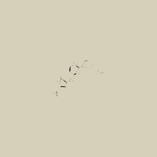 CN(C)C[C@H]1CCN(c2nccc(Nc3cc(C4CC4)[nH]n3)n2)C1